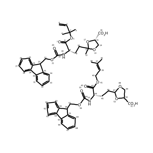 C=CC(C)(C)OC(=O)[C@H](CCC1(C)OC[C@@H](C(=O)O)O1)NC(=O)OCC1c2ccccc2-c2ccccc21.CC(C)=CCOC(=O)[C@H](CCC1OCC(C(=O)O)O1)NC(=O)OCC1c2ccccc2-c2ccccc21